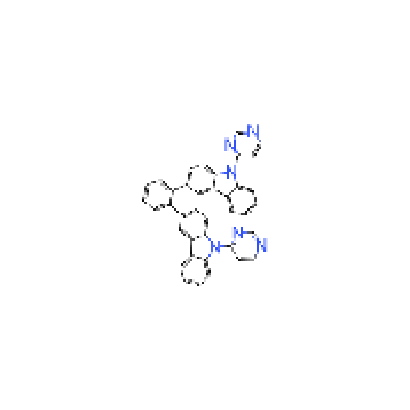 c1ccc(-c2ccc3c(c2)c2ccccc2n3-c2ccncn2)c(-c2ccc3c(c2)c2ccccc2n3-c2ccncn2)c1